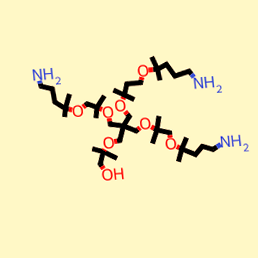 CC(C)(CO)OCC(COC(C)(C)CCOC(C)(C)CCCN)(COC(C)(C)COC(C)(C)CCCN)COC(C)(C)COC(C)(C)CCCN